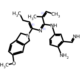 C\C=C(C)/C(=N\C(=C\CC)N1Cc2ccc(OC)cc2C1)Nc1ccc(N)c(C=N)c1